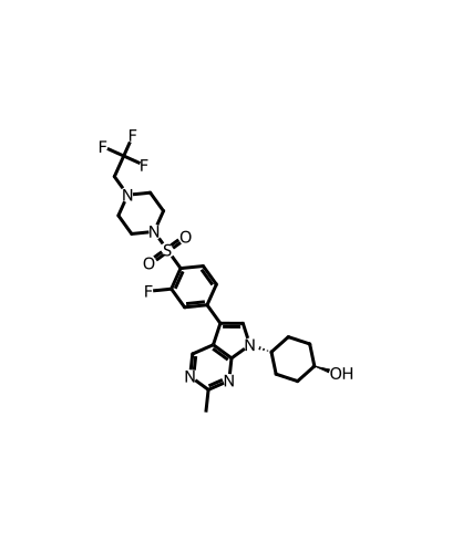 Cc1ncc2c(-c3ccc(S(=O)(=O)N4CCN(CC(F)(F)F)CC4)c(F)c3)cn([C@H]3CC[C@H](O)CC3)c2n1